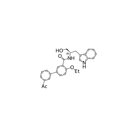 CCOc1ccc(-c2cccc(C(C)=O)c2)cc1C(=O)N[C@@H](CO)Cc1c[nH]c2ccccc12